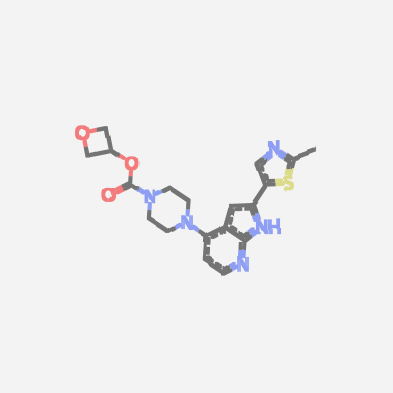 Cc1ncc(-c2cc3c(N4CCN(C(=O)OC5COC5)CC4)ccnc3[nH]2)s1